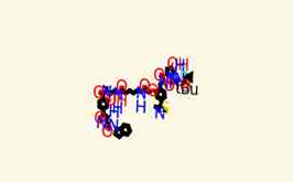 Cc1ncsc1-c1ccc(CNC(=O)[C@@H]2C[C@@H](O)CN2C(=O)[C@@H](NC(=O)C2(F)CC2)C(C)(C)C)c(OCC(=O)NCCCCC(=O)NCCN(C)C(=O)c2ccc(-c3cc(C(=O)N[C@@H]4CCc5ccccc54)no3)cc2O)c1